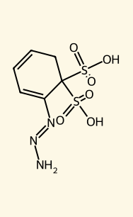 NN=NC1=CC=CCC1(S(=O)(=O)O)S(=O)(=O)O